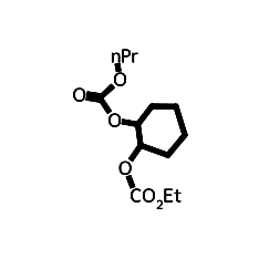 CCCOC(=O)OC1CCCCC1OC(=O)OCC